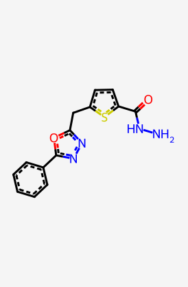 NNC(=O)c1ccc(Cc2nnc(-c3ccccc3)o2)s1